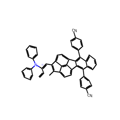 C=C/C(=C\C1=C(C)c2ccc3c4c(ccc1c24)-c1c-3c(-c2ccc(C#N)cc2)c2ccccc2c1-c1ccc(C#N)cc1)N(c1ccccc1)c1ccccc1